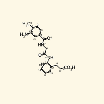 Cc1ccc(C(=O)NCC(=O)Nc2ncccc2CCC(=O)O)cc1N